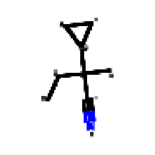 CCC(C)(C#N)C1CC1